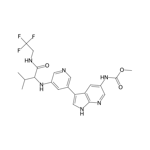 COC(=O)Nc1cnc2[nH]cc(-c3cncc(NC(C(=O)NCC(F)(F)F)C(C)C)c3)c2c1